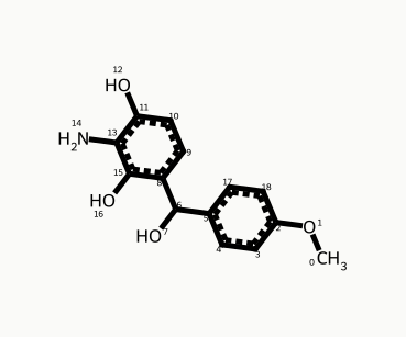 COc1ccc(C(O)c2ccc(O)c(N)c2O)cc1